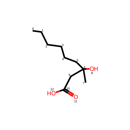 CCCCCCC(C)(O)CC(=O)O